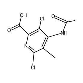 CC(=O)Nc1c(C)c(Cl)nc(C(=O)O)c1Cl